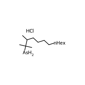 CCCCCCCCCCC(C)C(C)(C)[AsH2].Cl